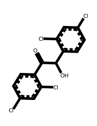 O=C(c1ccc(Cl)cc1Cl)C(O)c1ccc(Cl)cc1Cl